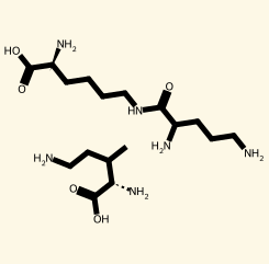 CC(CCN)[C@H](N)C(=O)O.NCCCC(N)C(=O)NCCCC[C@H](N)C(=O)O